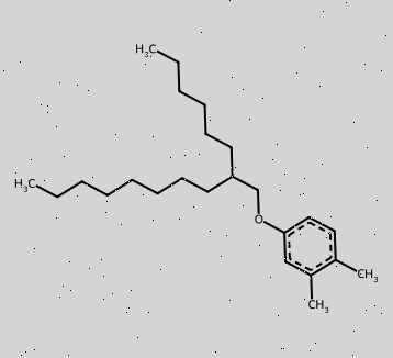 CCCCCCCCC(CCCCCC)COc1ccc(C)c(C)c1